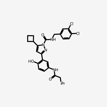 CC(C)CC(=O)Nc1ccc(O)c(-c2cc(C3CCC3)n(C(=O)NCc3ccc(Cl)c(Cl)c3)n2)c1